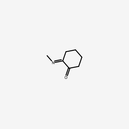 CN=C1CCCCC1=O